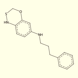 c1ccc(CCCNc2ccc3c(c2)OCSN3)cc1